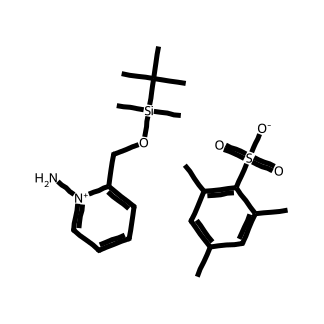 CC(C)(C)[Si](C)(C)OCc1cccc[n+]1N.Cc1cc(C)c(S(=O)(=O)[O-])c(C)c1